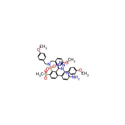 COc1ccc(CN(Cc2ccc(OC)cc2)S(=O)(=O)c2c(S(C)(=O)=O)ccc(-c3ccc(N)nc3)c2-c2nnnn2Cc2ccc(OC)cc2)cc1